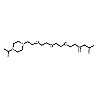 CC(C)CNCCOCCOCCOCCN1CCN(C(C)C)CC1